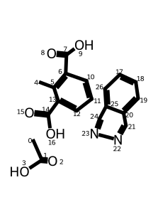 CC(=O)O.Cc1c(C(=O)O)cccc1C(=O)O.c1ccc2cnncc2c1